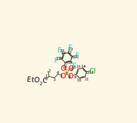 CCOC(=O)[C@@H](C)CCOP(=O)(Oc1ccc(Cl)cc1)Oc1c(F)c(F)c(F)c(F)c1F